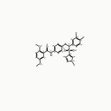 COc1ccc(OC)c(C(=O)Nc2ccc(CN(c3ccc(C)c(C)c3)S(=O)(=O)c3cn(C)cn3)cc2)c1